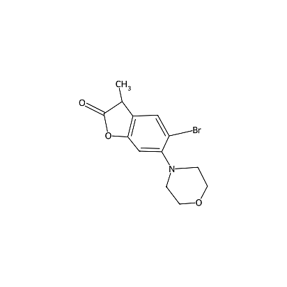 CC1C(=O)Oc2cc(N3CCOCC3)c(Br)cc21